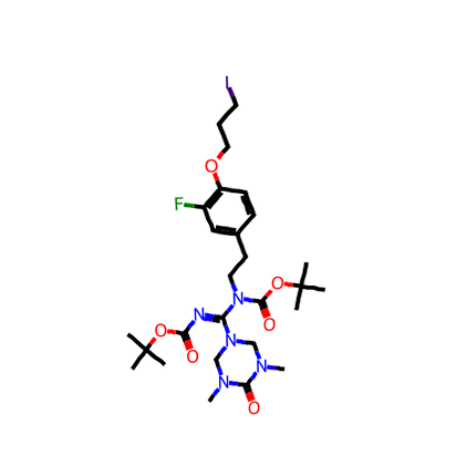 CN1CN(/C(=N\C(=O)OC(C)(C)C)N(CCc2ccc(OCCCI)c(F)c2)C(=O)OC(C)(C)C)CN(C)C1=O